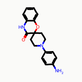 Nc1ccc(N2CCC3(CC2)Oc2ccccc2NC3=O)cc1